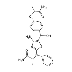 CC(Oc1ccc(C(O)c2sc(N(c3ccccc3)C(C)C(N)=O)nc2N)cc1)C(N)=O